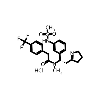 CN(C(=O)Cc1ccc(C(F)(F)F)cc1)[C@@H](CC1=NCCC1)c1cccc(NS(C)(=O)=O)c1.Cl